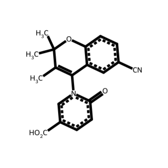 CC1=C(n2cc(C(=O)O)ccc2=O)c2cc(C#N)ccc2OC1(C)C